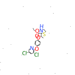 CCOC(=O)C1(C(C)Oc2ccc(Oc3ncc(Cl)cc3Cl)cc2)NCCS1